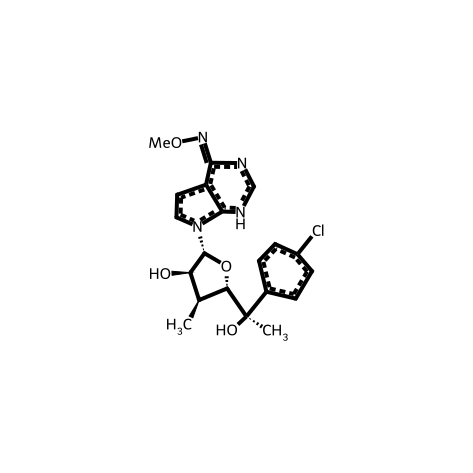 CO/N=c1/nc[nH]c2c1ccn2[C@@H]1O[C@H]([C@](C)(O)c2ccc(Cl)cc2)[C@@H](C)[C@H]1O